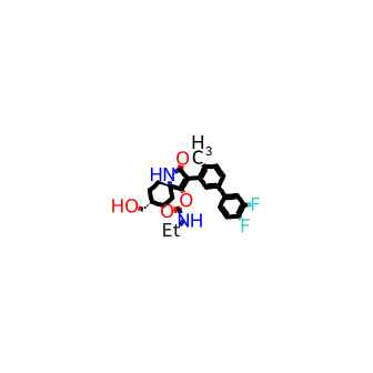 CCNC(=O)OC1=C(c2cc(-c3ccc(F)c(F)c3)ccc2C)C(=O)N[C@]12CC[C@@H](CO)CC2